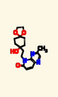 Cc1cnc2ccc(=O)n(CCC3(O)CCC4(CC3)OCCO4)c2n1